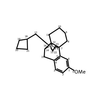 COc1ccc2c(c1)C13CCCCC1(O)C(C2)N(CC1CCC1)CC3